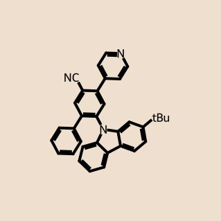 CC(C)(C)c1ccc2c3ccccc3n(-c3cc(-c4ccncc4)c(C#N)cc3-c3ccccc3)c2c1